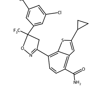 NC(=O)c1ccc(C2=NOC(c3cc(Cl)cc(Cl)c3)(C(F)(F)F)C2)c2sc(C3CC3)cc12